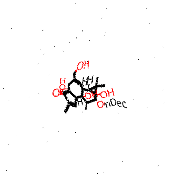 CCCCCCCCCCO[C@@H]1[C@@H](C)[C@@]2(O)[C@@H](C=C(CO)C[C@]3(O)C(=O)C(C)=C[C@@H]23)[C@H]2C(C)(C)[C@]12O